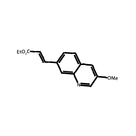 CCOC(=O)/C=C/c1ccc2cc(OC)cnc2c1